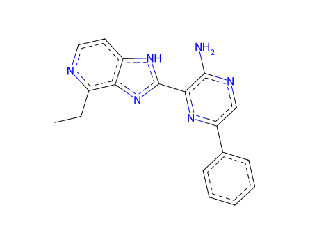 CCc1nccc2[nH]c(-c3nc(-c4ccccc4)cnc3N)nc12